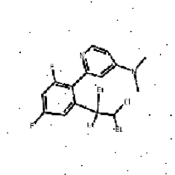 CCC(Cl)C(CC)(CC)c1cc(F)cc(F)c1-c1cc(N(C)C)ccn1